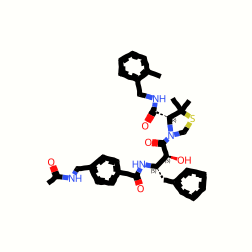 CC(=O)NCc1ccc(C(=O)N[C@@H](Cc2ccccc2)[C@H](O)C(=O)N2CSC(C)(C)[C@H]2C(=O)NCc2ccccc2C)cc1